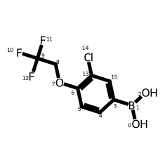 OB(O)c1ccc(OCC(F)(F)F)c(Cl)c1